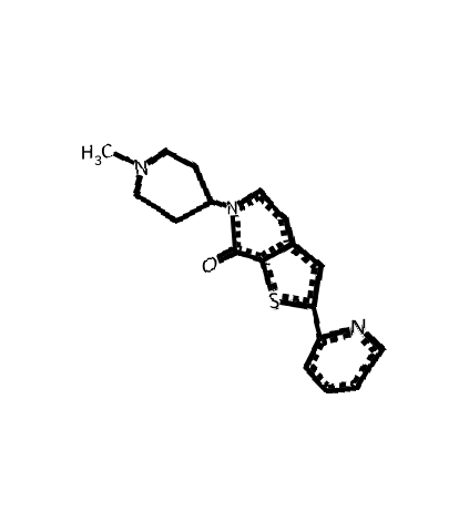 CN1CCC(n2ccc3cc(-c4ccccn4)sc3c2=O)CC1